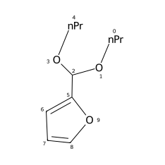 CCCOC(OCCC)c1ccco1